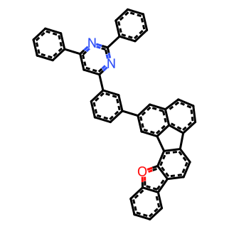 c1ccc(-c2cc(-c3cccc(-c4cc5c6c(cccc6c4)-c4ccc6c(oc7ccccc76)c4-5)c3)nc(-c3ccccc3)n2)cc1